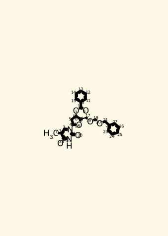 Cc1cn([C@H]2C[C@H](OC(=O)c3ccccc3)[C@@H](COCOCc3ccccc3)O2)c(=O)[nH]c1=O